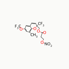 Cc1cc(OC(F)(F)F)cc2c1OC(COC(=O)CCO[N+](=O)[O-])(C(F)(F)F)C=C2